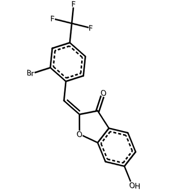 O=C1C(=Cc2ccc(C(F)(F)F)cc2Br)Oc2cc(O)ccc21